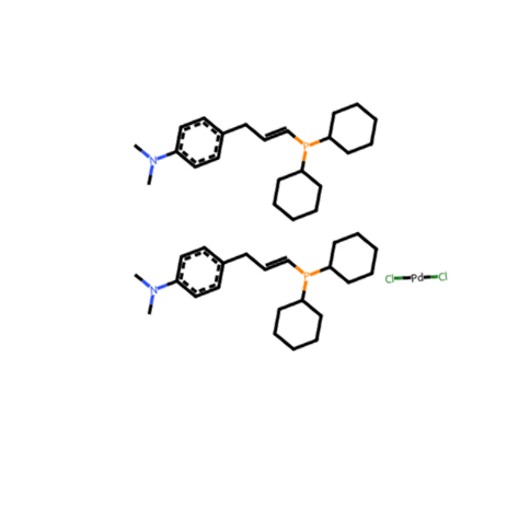 CN(C)c1ccc(CC=CP(C2CCCCC2)C2CCCCC2)cc1.CN(C)c1ccc(CC=CP(C2CCCCC2)C2CCCCC2)cc1.[Cl][Pd][Cl]